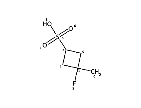 CC1(F)CC(S(=O)(=O)O)C1